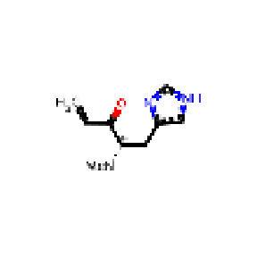 C=CC(=O)[C@H](Cc1c[nH]cn1)NC